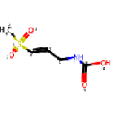 CS(=O)(=O)C=CCNC(=O)O